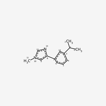 CC(C)c1cccc(-c2cn(C)cn2)c1